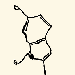 CCCc1cc2ccc(Cl)cc2n1CC